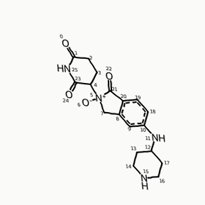 O=C1CCC([N+]2([O-])Cc3cc(NC4CCNCC4)ccc3C2=O)C(=O)N1